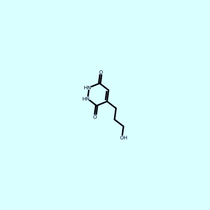 O=c1cc(CCCO)c(=O)[nH][nH]1